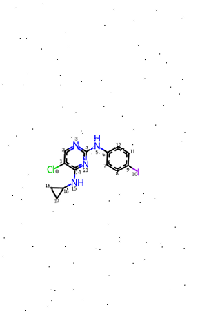 Clc1cnc(Nc2ccc(I)cc2)nc1NC1CC1